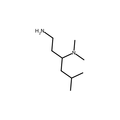 CC(C)CC(CCN)N(C)C